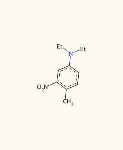 CCN(CC)c1ccc(C)c([N+](=O)[O-])c1